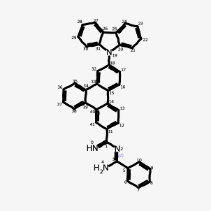 N=C(/N=C(\N)c1ccccc1)c1ccc2c3ccc(-n4c5ccccc5c5ccccc54)cc3c3ccccc3c2c1